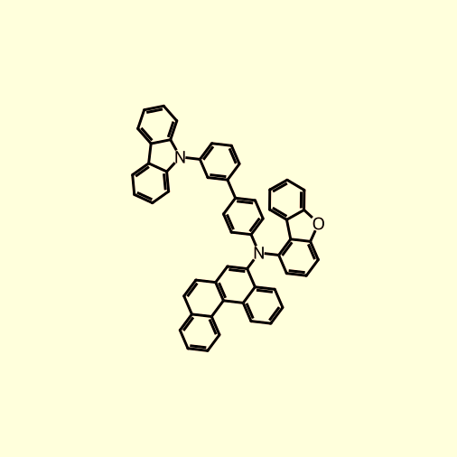 c1cc(-c2ccc(N(c3cc4ccc5ccccc5c4c4ccccc34)c3cccc4oc5ccccc5c34)cc2)cc(-n2c3ccccc3c3ccccc32)c1